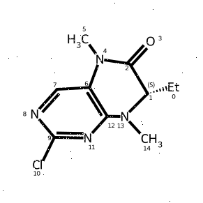 CC[C@H]1C(=O)N(C)c2cnc(Cl)nc2N1C